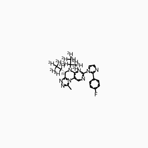 [2H]C([2H])([2H])C([2H])([2H])[C@H]1c2nnc(C)n2-c2cnc(-n3ccnc3-c3ccc(F)cc3)nc2N1C([2H])(C([2H])([2H])[2H])C([2H])([2H])[2H]